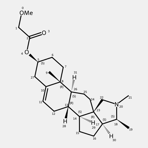 COCC(=O)O[C@H]1CC[C@@]2(C)C(=CC[C@H]3[C@@H]4CC[C@@H]5[C@H](C)N(C)C[C@@]54CC[C@@H]32)C1